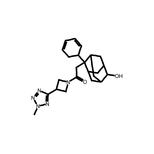 Cn1nnc(C2CN(C(=O)CC3(C4C=CC=CC4)C4CC5CC3CC(C4)C5O)C2)n1